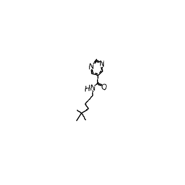 CC(C)(C)CCCNC(=O)c1cncnc1